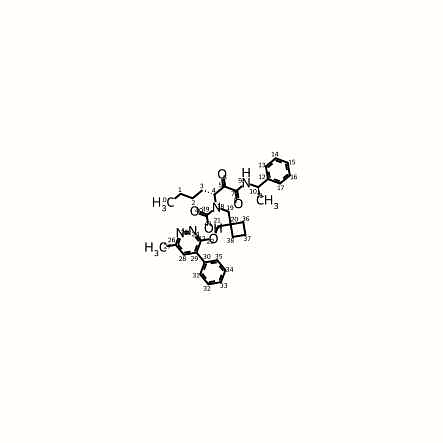 CCCC[C@H](C(=O)C(=O)N[C@H](C)c1ccccc1)N(CC1(COc2nnc(C)cc2-c2ccccc2)CCC1)C(=O)O